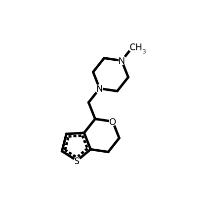 CN1CCN(CC2OCCc3sccc32)CC1